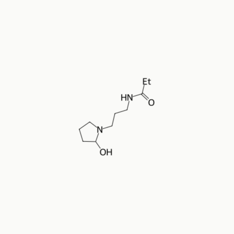 CCC(=O)NCCCN1CCCC1O